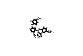 [C-]#[N+]c1ccc(Oc2ccc(OC)cc2)cc1N(Cc1ccc(N)cc1)n1cnnc1